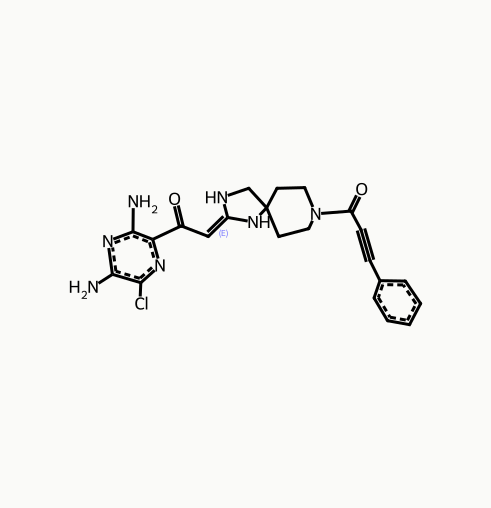 Nc1nc(N)c(C(=O)/C=C2\NCC3(CCN(C(=O)C#Cc4ccccc4)CC3)N2)nc1Cl